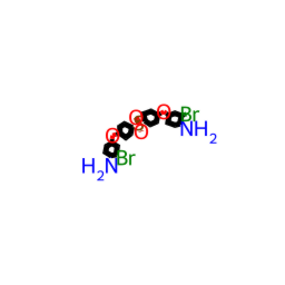 Nc1ccc(Oc2ccc(S(=O)(=O)c3ccc(Oc4ccc(N)c(Br)c4)cc3)cc2)cc1Br